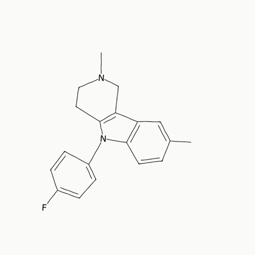 Cc1ccc2c(c1)c1c(n2-c2ccc(F)cc2)CCN(C)C1